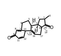 CC1C[C@H]2[C@@H]3CCC4=CC(=O)C=C[C@]4(C)C3=CC[C@]2(C)C1=O